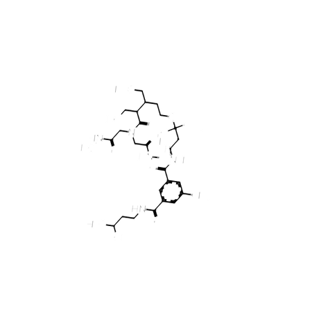 CCC(CCOC(C)(C)CCNC(=O)c1cc(C)cc(C(=O)NCCC(C)C)c1)C(CC)C(=O)N(CC(=O)NC)CC(=O)NC